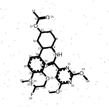 COc1cc(C(=O)NC2CCC(OC(C)=O)CC2c2ccc(OC)c(OCC(F)F)c2)nc(OC)n1